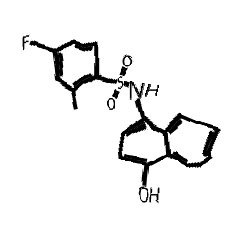 Cc1cc(F)ccc1S(=O)(=O)Nc1ccc(O)c2ccccc12